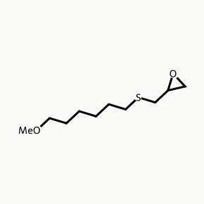 COCCCCCCSCC1CO1